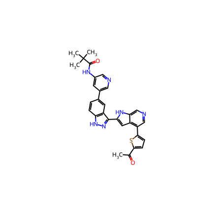 CC(=O)c1ccc(-c2cncc3[nH]c(-c4n[nH]c5ccc(-c6cncc(NC(=O)C(C)(C)C)c6)cc45)cc23)s1